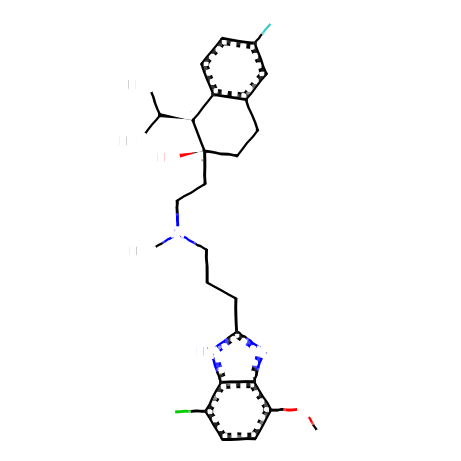 COc1ccc(Cl)c2[nH]c(CCCN(C)CC[C@@]3(O)CCc4cc(F)ccc4[C@@H]3C(C)C)nc12